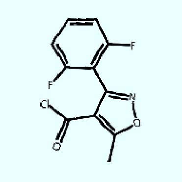 Cc1onc(-c2c(F)cccc2F)c1C(=O)Cl